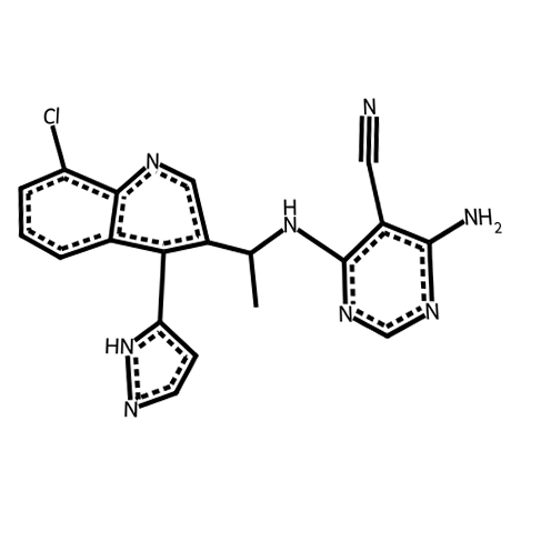 CC(Nc1ncnc(N)c1C#N)c1cnc2c(Cl)cccc2c1-c1ccn[nH]1